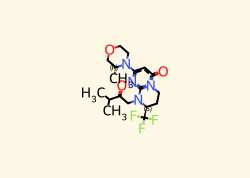 CC(C)C(=O)CN1c2nc(N3CCOC[C@H]3C)cc(=O)n2CC[C@H]1C(F)(F)F